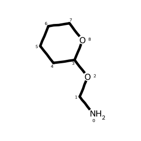 NCOC1CCCCO1